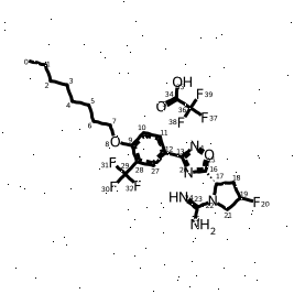 CCCCCCCCOc1ccc(-c2noc([C@@H]3CC(F)CN3C(=N)N)n2)cc1C(F)(F)F.O=C(O)C(F)(F)F